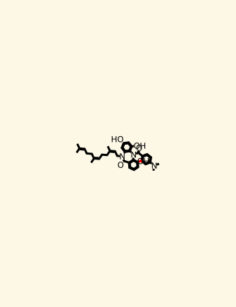 CC(C)=CCCC(C)=CCCC(C)=CCN1C(=O)c2cccc(O)c2N(C(=O)c2ccc(N(C)C)cc2)c2c(O)cc(O)cc21